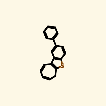 C1=CCc2sc3ccc(-c4ccccc4)cc3c2C=C1